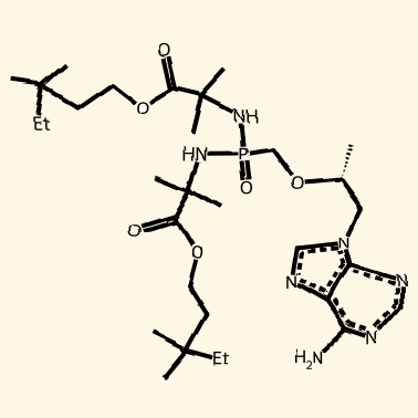 CCC(C)(C)CCOC(=O)C(C)(C)NP(=O)(CO[C@H](C)Cn1cnc2c(N)ncnc21)NC(C)(C)C(=O)OCCC(C)(C)CC